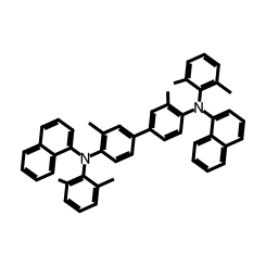 Cc1cc(-c2ccc(N(c3c(C)cccc3C)c3cccc4ccccc34)c(C)c2)ccc1N(c1c(C)cccc1C)c1cccc2ccccc12